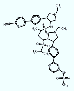 CCN1CC(NS(=O)(=O)C(C)CN(C2CN(CC)CC2c2ccc(-c3cccc(NS(C)(=O)=O)c3)cc2)S(=O)(=O)C(C)C)C(c2ccc(-c3ccc(C#N)cc3)cc2)C1